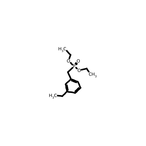 CCOP(=O)(Cc1cccc(CC)c1)OCC